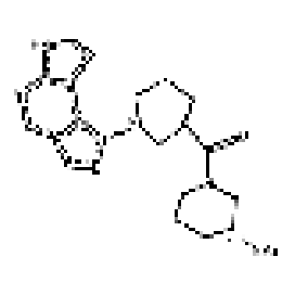 CN[C@@H]1CCCN(C(=O)N2CCC[C@@H](c3ncc4cnc5[nH]ccc5n34)C2)C1